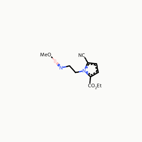 CCOC(=O)c1ccc(C#N)n1CCN=BOC